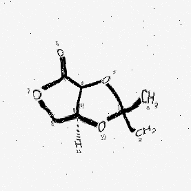 CC1(C)OC2C(=O)OC[C@@H]2O1